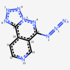 [N-]=[N+]=Nc1nn2nnnc2c2ccncc12